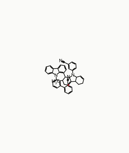 CC1CC=C2C3CCC=CC3N(c3cccc(C#N)c3)C2C1c1cccc2c3ccccc3n(-c3cccc(-c4ccccc4C#N)c3)c12